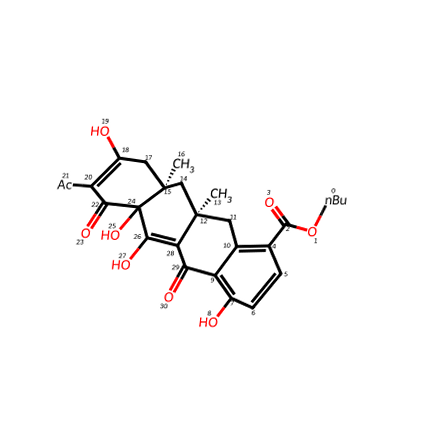 CCCCOC(=O)c1ccc(O)c2c1C[C@]1(C)C[C@]3(C)CC(O)=C(C(C)=O)C(=O)C3(O)C(O)=C1C2=O